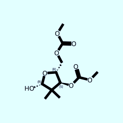 COC(=O)OC[C@H]1O[C@@H](O)C(C)(C)[C@@H]1OC(=O)OC